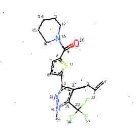 C=CCc1c(-c2ccc(C(=O)N3CCCCC3)s2)nn(C)c1C(F)(F)F